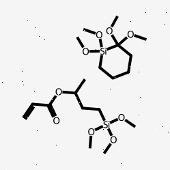 C=CC(=O)OC(C)CC[Si](OC)(OC)OC.COC1(OC)CCCC[Si]1(OC)OC